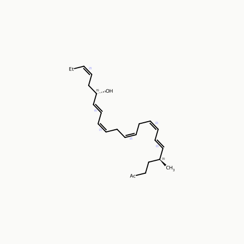 CC/C=C\C[C@H](O)/C=C/C=C\C/C=C\C/C=C\C=C\[C@@H](C)CCC(C)=O